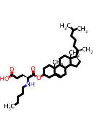 CCCCCN[C@@H](CCC(=O)O)C(=O)OC1CC[C@@]2(C)C(=CCC3C2CC[C@@]2(C)C3CC[C@@H]2[C@H](C)CCCC(C)C)C1